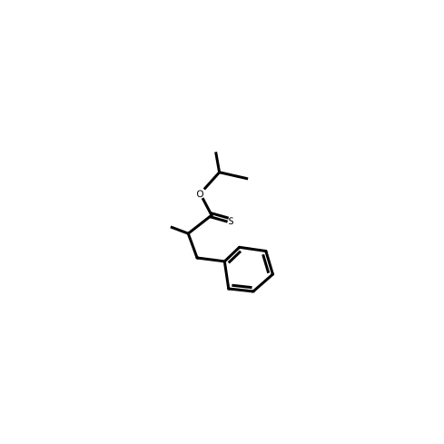 CC(C)OC(=S)C(C)Cc1ccccc1